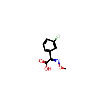 CON=C(C(=O)O)c1cccc(Cl)c1